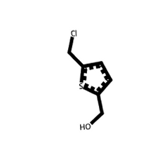 OCc1ccc(CCl)s1